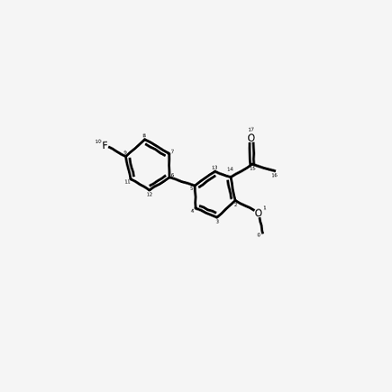 COc1ccc(-c2ccc(F)cc2)cc1C(C)=O